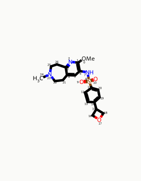 COc1nc2c(cc1NS(=O)(=O)c1ccc(C3COC3)cc1)CCN(C)CC2